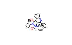 CCc1ccccc1N(NC(=O)OC)C(=O)c1c(OC)c(-c2ccccc2)nc2ccccc12